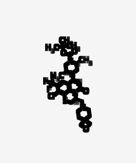 C[C@@H]1CN(c2nc(=O)n3c4c(c(Cl)c(C(F)(F)F)cc24)SC[C@@H]3CN2CCC3(CC2)COC3)[C@@H](C)CN1C(=O)OC(C)(C)C